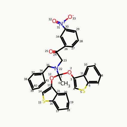 CC(Oc1csc2ccccc12)(Oc1csc2ccccc12)N(CC(=O)c1cccc([N+](=O)[O-])c1)Cc1ccccc1